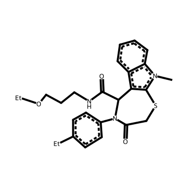 CCOCCCNC(=O)C1c2c(n(C)c3ccccc23)SCC(=O)N1c1ccc(CC)cc1